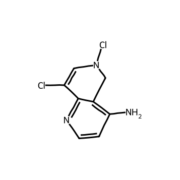 Nc1ccnc2c1CN(Cl)C=C2Cl